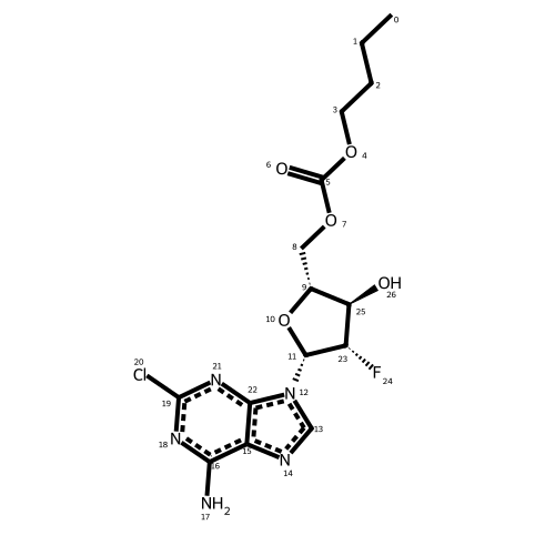 CCCCOC(=O)OC[C@H]1O[C@@H](n2cnc3c(N)nc(Cl)nc32)[C@@H](F)[C@@H]1O